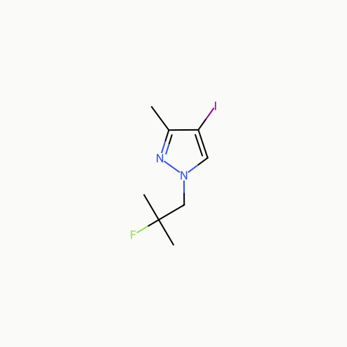 Cc1nn(CC(C)(C)F)cc1I